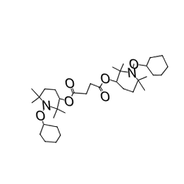 CC1(C)CCC(OC(=O)CCC(=O)OC2CCC(C)(C)N(OC3CCCCC3)C2(C)C)C(C)(C)N1OC1CCCCC1